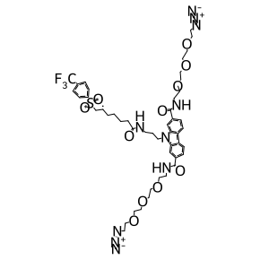 [N-]=[N+]=NCCOCCOCCOCCNC(=O)c1ccc2c3ccc(C(=O)NCCOCCOCCOCCN=[N+]=[N-])cc3n(CCCNC(=O)CCCC[CH]CS(=O)(=O)c3ccc(C(F)(F)F)cc3)c2c1